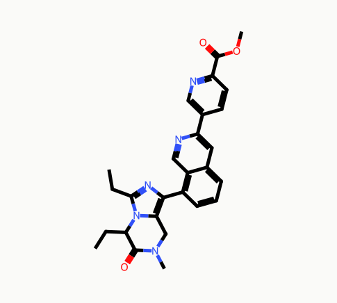 CCc1nc(-c2cccc3cc(-c4ccc(C(=O)OC)nc4)ncc23)c2n1C(CC)C(=O)N(C)C2